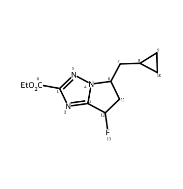 CCOC(=O)c1nc2n(n1)C(CC1CC1)CC2F